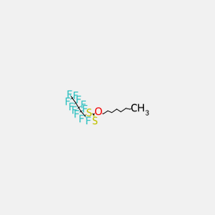 CCCCCCCCOC(=S)SC(F)(F)C(F)(F)C(F)(F)C(F)(F)C(F)(F)F